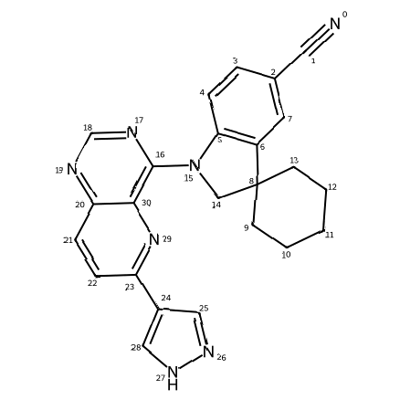 N#Cc1ccc2c(c1)C1(CCCCC1)CN2c1ncnc2ccc(-c3cn[nH]c3)nc12